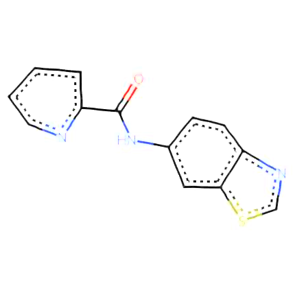 O=C(Nc1ccc2ncsc2c1)c1ccccn1